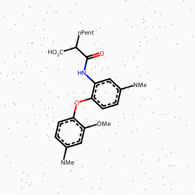 CCCCCC(C(=O)O)C(=O)Nc1cc(NC)ccc1Oc1ccc(NC)cc1OC